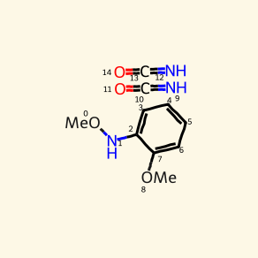 CONc1ccccc1OC.N=C=O.N=C=O